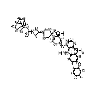 N=C(c1ccc(Oc2ccccc2)cc1)c1c(N)ncnc1NC1CCN(C2(CO)CCN(C3CN(C(=O)CC45CC6CC(CC(C6)C4)C5)C3)CC2)CC1